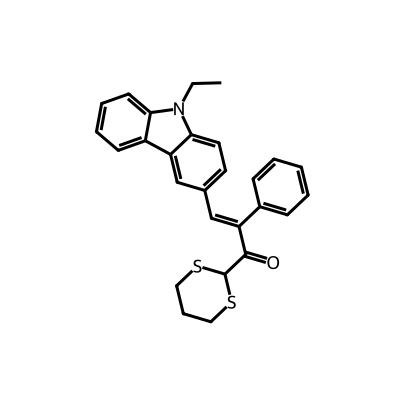 CCn1c2ccccc2c2cc(/C=C(/C(=O)C3SCCCS3)c3ccccc3)ccc21